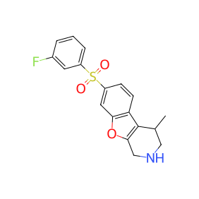 CC1CNCc2oc3cc(S(=O)(=O)c4cccc(F)c4)ccc3c21